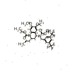 C=CC[C@@H]1C[C@H](N(Cc2cc(C(F)(F)F)cc(C(F)(F)F)c2)C(=O)OC)c2cc(OC)c(OC)cc2N1C(=O)OCC